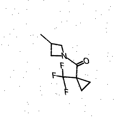 CC1CN(C(=O)C2(C(F)(F)F)CC2)C1